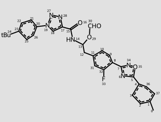 Cc1ccc(-c2nc(-c3ccc(CC(NC(=O)c4cn(-c5ccc(C(C)(C)C)cc5)nn4)OC=O)cc3F)no2)cc1